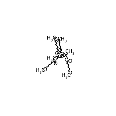 CCC(COCC(CC)(COC(=O)CCCCCOC)COC(=O)CCCCCOC)(COC(=O)CCCCCOC)COC(=O)CCCCCOC